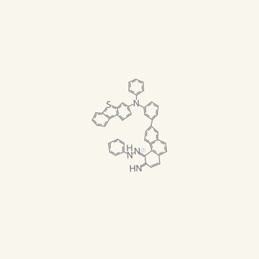 N=C1C=Cc2ccc3cc(-c4cccc(N(c5ccccc5)c5ccc6c(c5)sc5ccccc56)c4)ccc3c2/C1=N/Nc1ccccc1